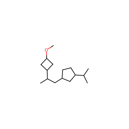 COC1CC(C(C)CC2CCC(C(C)C)C2)C1